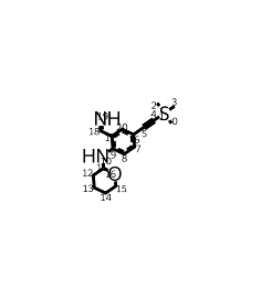 CS(C)(C)C#Cc1ccc(NC2CCCCO2)c(C=N)c1